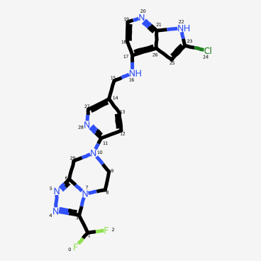 FC(F)c1nnc2n1CCN(c1ccc(CNc3ccnc4[nH]c(Cl)cc34)cn1)C2